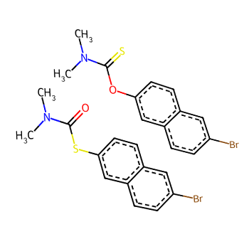 CN(C)C(=O)Sc1ccc2cc(Br)ccc2c1.CN(C)C(=S)Oc1ccc2cc(Br)ccc2c1